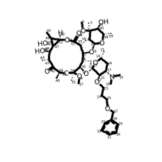 CO[C@]1(C)C[C@H](O[C@H]2[C@H](C)[C@@H](O[C@@H]3O[C@H](C)C[C@H](N(C)C)[C@H]3OCCCOCc3ccccc3)[C@@](C)(OC)C[C@@H](C)C(=O)[C@H](C)[C@@H](O)[C@@]3(O)C(C)[C@H]3OC(=O)[C@@H]2C)O[C@@H](C)[C@@H]1O